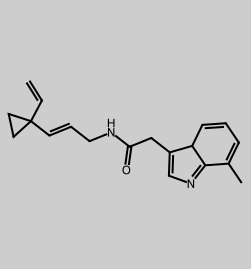 C=CC1(/C=C/CNC(=O)CC2=CN=C3C(C)=CC=CC23)CC1